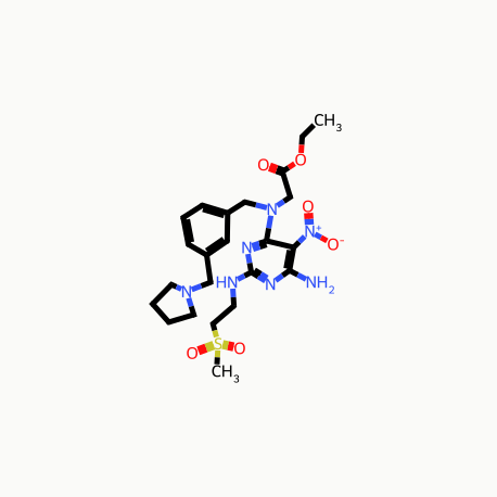 CCOC(=O)CN(Cc1cccc(CN2CCCC2)c1)c1nc(NCCS(C)(=O)=O)nc(N)c1[N+](=O)[O-]